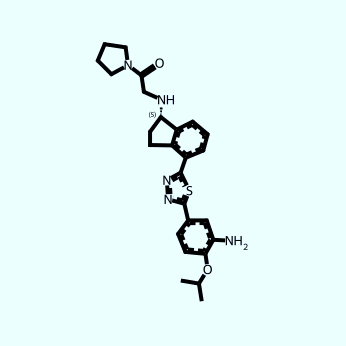 CC(C)Oc1ccc(-c2nnc(-c3cccc4c3CC[C@@H]4NCC(=O)N3CCCC3)s2)cc1N